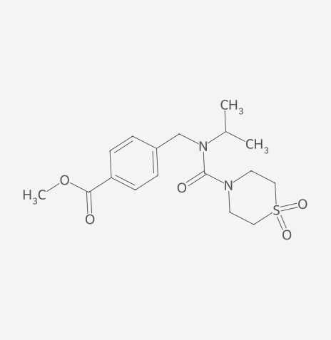 COC(=O)c1ccc(CN(C(=O)N2CCS(=O)(=O)CC2)C(C)C)cc1